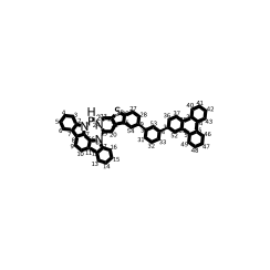 Pn1c2ccccc2c2ccc3c4ccccc4n(-c4cc5c(cn4)sc4ccc(-c6cccc(-c7ccc8c9ccccc9c9ccccc9c8c7)c6)cc45)c3c21